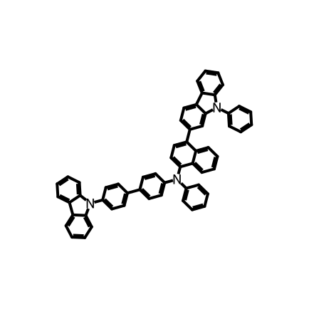 c1ccc(N(c2ccc(-c3ccc(-n4c5ccccc5c5ccccc54)cc3)cc2)c2ccc(-c3ccc4c5ccccc5n(-c5ccccc5)c4c3)c3ccccc23)cc1